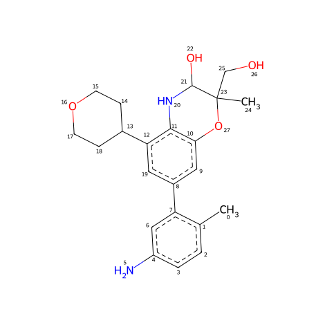 Cc1ccc(N)cc1-c1cc2c(c(C3CCOCC3)c1)NC(O)C(C)(CO)O2